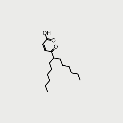 CCCCCCC(CCCCCC)C(=O)/C=C\C(=O)O